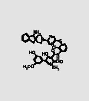 COc1cc(O)cc(C2=CN(C)C(=C=O)C(C(=O)Nc3cccc(Sc4cnc(N5CCC6(CC5)Cc5ccccc5[C@H]6N)cn4)c3Cl)=C2O)c1